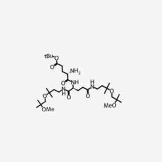 COC(C)(C)COC(C)(C)CCNC(=O)CC[C@H](NC(=O)[C@@H](N)CCC(=O)OC(C)(C)C)C(=O)NCCC(C)(C)OCC(C)(C)OC